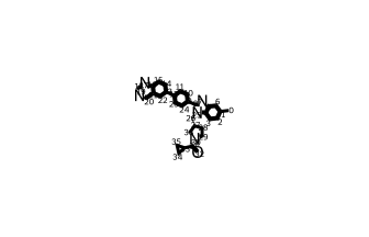 Cc1ccc2c(c1)nc(-c1ccc(-c3ccc4ncncc4c3)cc1)n2C[C@@H]1CCN(C(=O)C2CC2)C1